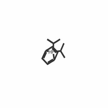 CC(C)[PH]1(C(C)C)C2=CC=C1C=C2